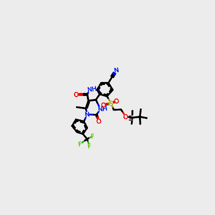 CC1=C(C(N)=O)C(c2ccc(C#N)cc2S(=O)(=O)CCO[Si](C)(C)C(C)(C)C)NC(=O)N1c1cccc(C(F)(F)F)c1